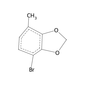 Cc1ccc(Br)c2c1OCO2